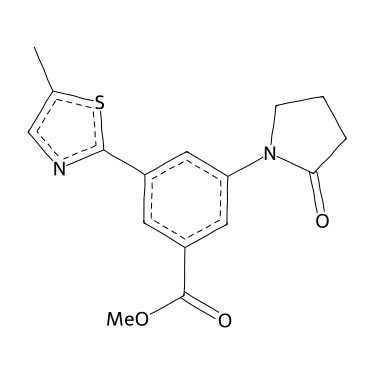 COC(=O)c1cc(-c2ncc(C)s2)cc(N2CCCC2=O)c1